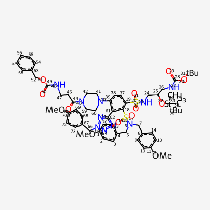 COc1ccc(CN(Cc2ccc(OC)cc2)S(=O)(=O)c2c(S(=O)(=O)NC[C@@H](CNC(=O)OC(C)(C)C)O[Si](C)(C)C(C)(C)C)ccc(N3CCN(C(=O)CCNC(=O)OCc4ccccc4)CC3)c2-c2nnn(Cc3ccc(OC)cc3)n2)cc1